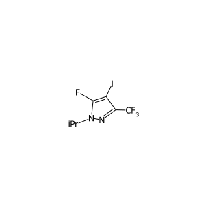 CC(C)n1nc(C(F)(F)F)c(I)c1F